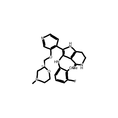 COc1c(F)cccc1Nc1c(-c2ccncc2OC[C@@H]2CN(C)CCO2)[nH]c2c1C(=O)NCC2